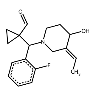 CC=C1CN(C(c2ccccc2F)C2(C=O)CC2)CCC1O